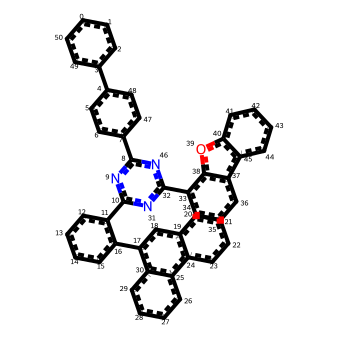 c1ccc(-c2ccc(-c3nc(-c4ccccc4-c4cc5ccccc5c5ccccc45)nc(-c4cccc5c4oc4ccccc45)n3)cc2)cc1